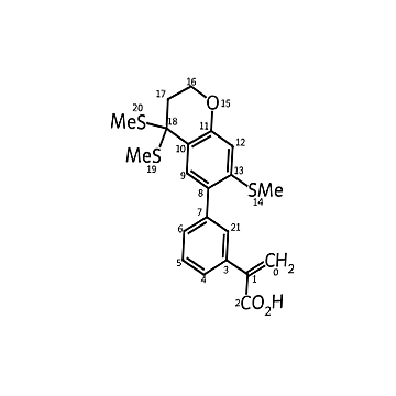 C=C(C(=O)O)c1cccc(-c2cc3c(cc2SC)OCCC3(SC)SC)c1